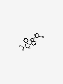 CC(C)C(=O)N1CCN(c2ncnc3c2c(-c2ccccc2)cn3-c2cc(C#N)ccn2)[C@@H](C)C1